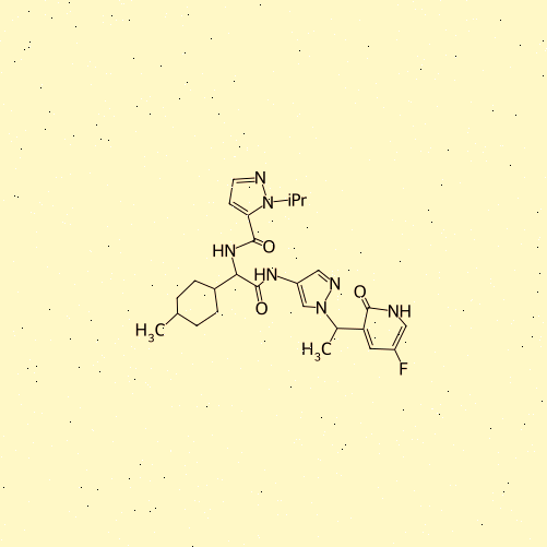 CC1CCC(C(NC(=O)c2ccnn2C(C)C)C(=O)Nc2cnn(C(C)c3cc(F)c[nH]c3=O)c2)CC1